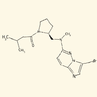 CC(C)CC(=O)N1CCC[C@H]1CN(C)c1ccc2ncc(Br)n2n1